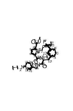 COC(=O)c1ccc(C(=O)N[C@@H](Cc2cccc(C(F)(F)F)c2)C(=O)NCc2ccc(N)nc2)[nH]1